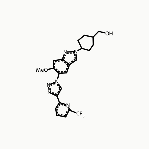 COc1cc2nn(C3CCC(CO)CC3)cc2cc1-n1cc(-c2cccc(C(F)(F)F)n2)nn1